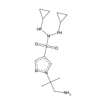 CC(C)(CN)n1cc(S(=O)(=O)N(PC2CC2)PC2CC2)cn1